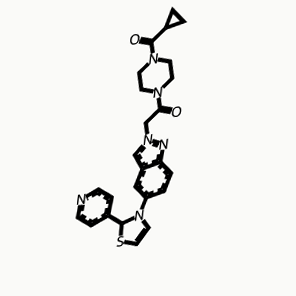 O=C(Cn1cc2cc(N3C=CSC3c3ccncc3)ccc2n1)N1CCN(C(=O)C2CC2)CC1